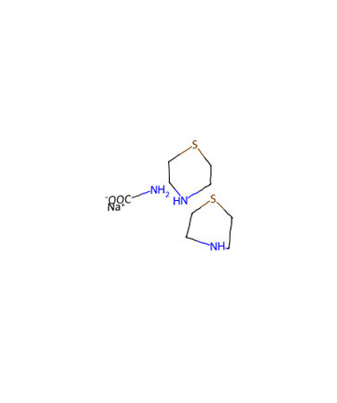 C1CSCCN1.C1CSCCN1.NC(=O)[O-].[Na+]